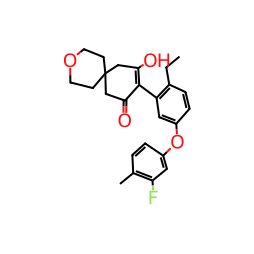 CCc1ccc(Oc2ccc(C)c(F)c2)cc1C1=C(O)CC2(CCOCC2)CC1=O